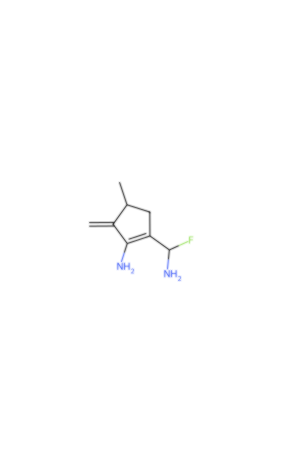 C=C1C(N)=C(C(N)F)CC1C